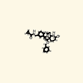 Cc1nc2ccc(CNC(=O)C3CC3)cc2c(=O)n1C1(C(=O)OCc2ccccc2)CCCC(=O)NC1=O